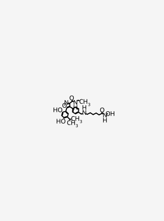 CCNC(=O)c1noc(-c2cc(C(C)C)c(O)cc2O)c1-c1ccc(CNCCCCCC(=O)NO)cc1